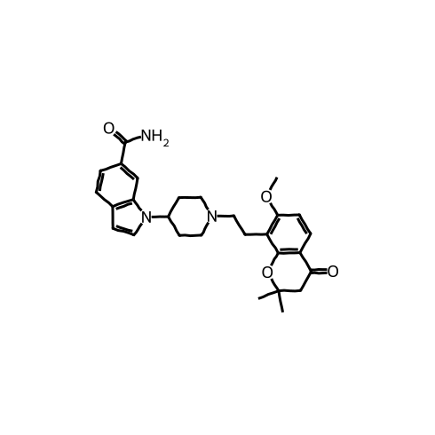 COc1ccc2c(c1CCN1CCC(n3ccc4ccc(C(N)=O)cc43)CC1)OC(C)(C)CC2=O